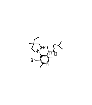 CCC1(C)CCN(c2c(Br)c(C)nc(C)c2[C@H](O)C(=O)OC(C)C)CC1